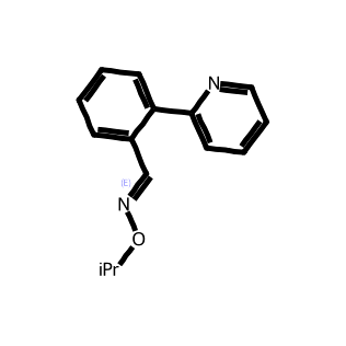 CC(C)O/N=C/c1ccccc1-c1ccccn1